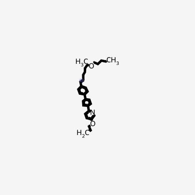 C=CCOc1ccc(-c2ccc(-c3ccc(/C=C/CCCC(C)OCCCCC)cc3)cc2)nc1